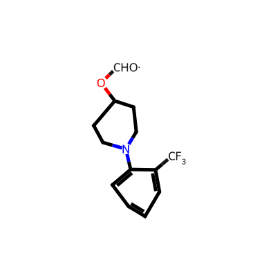 O=[C]OC1CCN(c2ccccc2C(F)(F)F)CC1